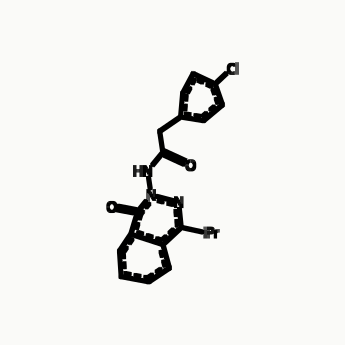 CC(C)c1nn(NC(=O)Cc2ccc(Cl)cc2)c(=O)c2ccccc12